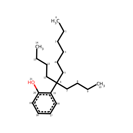 CCCCCCC(CCCC)(CCCC)c1ccccc1O